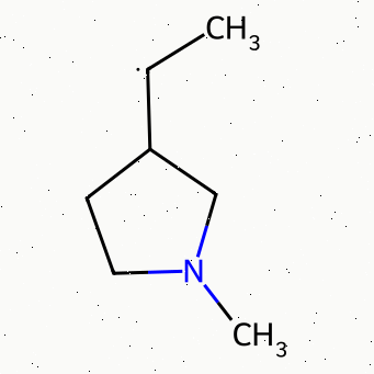 C[CH]C1CCN(C)C1